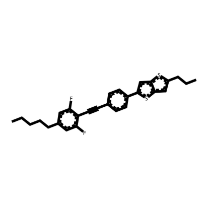 CCCCCc1cc(F)c(C#Cc2ccc(-c3cc4sc(CCC)cc4s3)cc2)c(F)c1